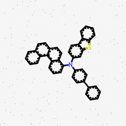 c1ccc(-c2ccc(N(c3ccc4c(c3)sc3ccccc34)c3cccc4c3ccc3ccc5ccccc5c34)cc2)cc1